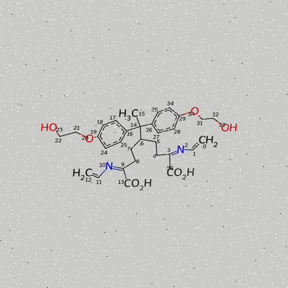 C=CN=C(CCC(CCC(=NC=C)C(=O)O)C(C)(c1ccc(OCCO)cc1)c1ccc(OCCO)cc1)C(=O)O